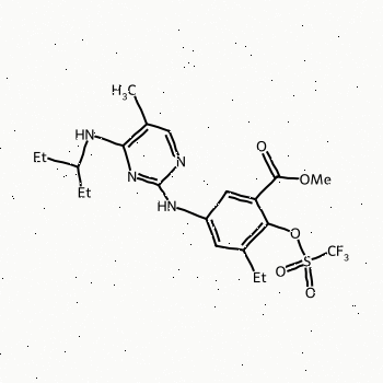 CCc1cc(Nc2ncc(C)c(NC(CC)CC)n2)cc(C(=O)OC)c1OS(=O)(=O)C(F)(F)F